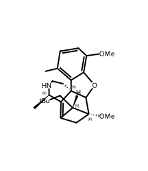 COc1ccc(C)c2c1OC1[C@]23CCN[C@H](C)C3=C2C[C@@]1(OC)[C@H]2CC(C)(C)C